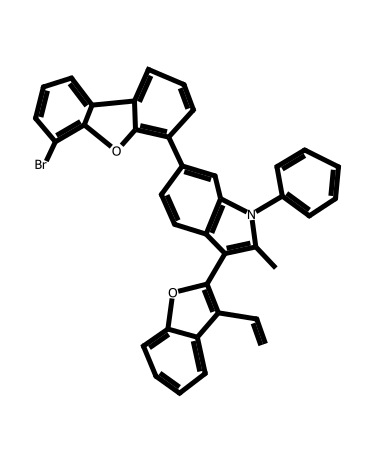 C=Cc1c(-c2c(C)n(-c3ccccc3)c3cc(-c4cccc5c4oc4c(Br)cccc45)ccc23)oc2ccccc12